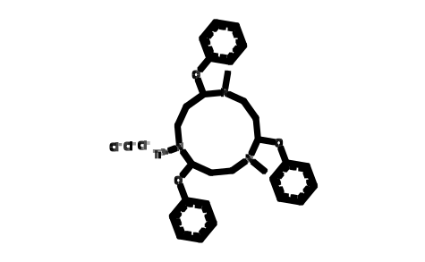 CN1CCC(Oc2ccccc2)N(C)CCC(Oc2ccccc2)[N]([Ti+3])CCC1Oc1ccccc1.[Cl-].[Cl-].[Cl-]